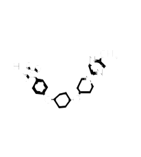 Cc1cnc(N2CCC(O[C@H]3CC[C@H](Oc4ccc(S(C)(=O)=O)cc4)CC3)CC2)cn1